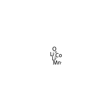 [Li].[Li].[Mn].[O]=[Co]